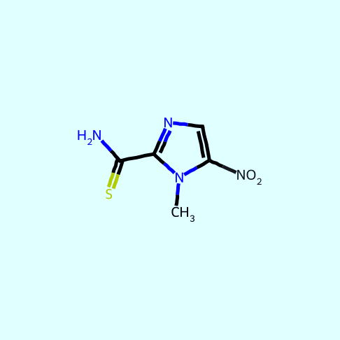 Cn1c([N+](=O)[O-])cnc1C(N)=S